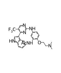 CC(=O)Nc1cc(Nc2ncc(C(F)(F)F)c(-c3c[nH]c4ccccc34)n2)ccc1OCCN(C)C